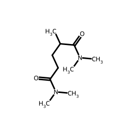 CC(CCC(=O)N(C)C)C(=O)N(C)C